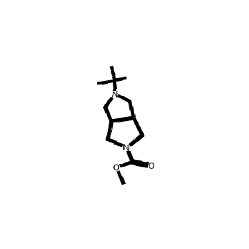 COC(=O)N1CC2CN(C(C)(C)C)CC2C1